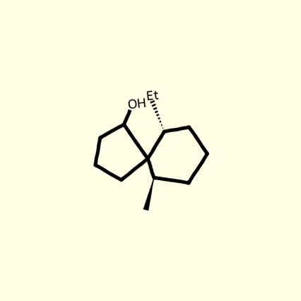 CC[C@@H]1CCC[C@@H](C)C12CCCC2O